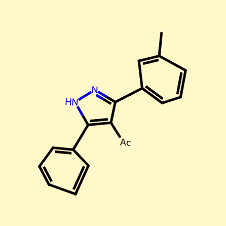 CC(=O)c1c(-c2cccc(C)c2)n[nH]c1-c1ccccc1